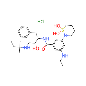 CCNc1cc(C(=O)N[C@@H](Cc2ccccc2)[C@H](O)CNC(C)(C)CC)cc(N2CCCCS2(O)O)c1.Cl